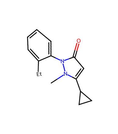 CCc1ccccc1-n1c(=O)cc(C2CC2)n1C